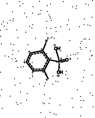 Cc1cccc(F)c1P(=O)(O)O